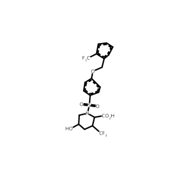 O=C(O)C1C(C(F)(F)F)CC(O)CN1S(=O)(=O)c1ccc(OCc2ccccc2C(F)(F)F)cc1